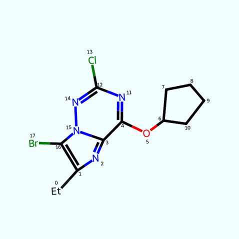 CCc1nc2c(OC3CCCC3)nc(Cl)nn2c1Br